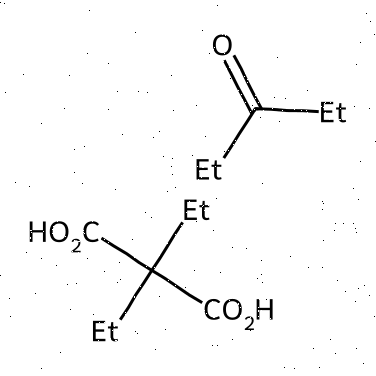 CCC(=O)CC.CCC(CC)(C(=O)O)C(=O)O